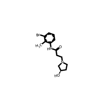 Cc1c(Br)cccc1NC(=O)CCN1CC[C@@H](O)C1